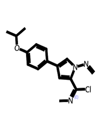 C=Nn1cc(-c2ccc(OC(C)C)cc2)cc1/C(Cl)=N\C